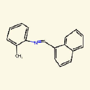 Cc1ccccc1/N=C/c1cccc2ccccc12